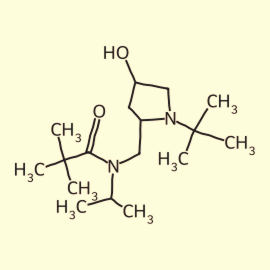 CC(C)N(CC1CC(O)CN1C(C)(C)C)C(=O)C(C)(C)C